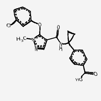 Cn1ncc(C(=O)NC2(c3ccc(C(=O)O)cc3)CC2)c1Oc1cccc(Cl)c1